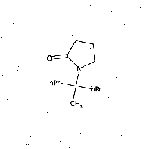 CCCC(C)(CCC)N1CCCC1=O